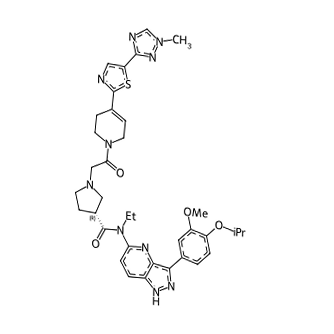 CCN(C(=O)[C@@H]1CCN(CC(=O)N2CC=C(c3ncc(-c4ncn(C)n4)s3)CC2)C1)c1ccc2[nH]nc(-c3ccc(OC(C)C)c(OC)c3)c2n1